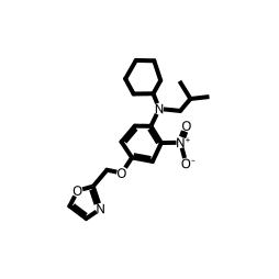 CC(C)CN(c1ccc(OCc2ncco2)cc1[N+](=O)[O-])C1CCCCC1